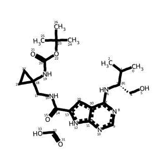 CC(C)[C@H](CO)Nc1ncnc2[nH]c(C(=O)NCC3(NC(=O)OC(C)(C)C)CC3)cc12.O=CO